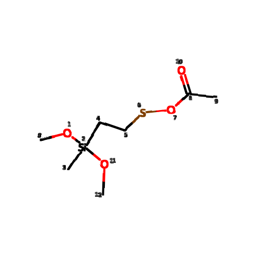 CO[Si](C)(CCSOC(C)=O)OC